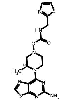 C[C@H]1CN(OC(=O)NCc2nccs2)CCN1c1nc(N)nc2scnc12